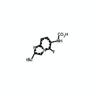 CC(C)(C)c1cn2c(F)c(NC(=O)O)ccc2n1